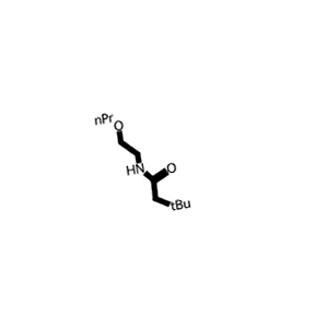 CCCOCCNC(=O)CC(C)(C)C